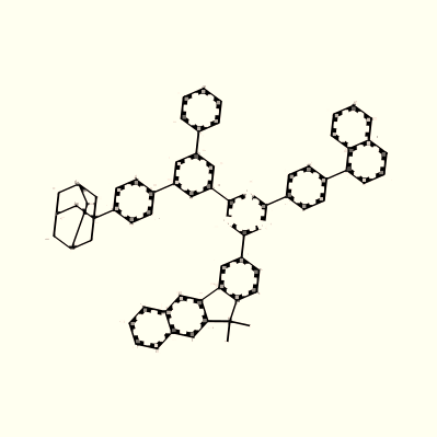 CC1(C)c2ccc(-c3nc(-c4ccc(-c5cccc6ccccc56)cc4)nc(-c4cc(-c5ccccc5)cc(-c5ccc(C67CC8CC(CC(C8)C6)C7)cc5)c4)n3)cc2-c2cc3ccccc3cc21